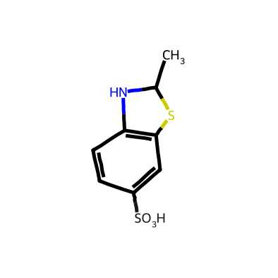 CC1Nc2ccc(S(=O)(=O)O)cc2S1